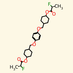 C[C@H](F)C(=O)OC1CCC(COc2ccc(OCC3CCC(OC(=O)[C@H](C)F)CC3)cc2)CC1